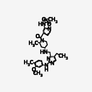 CCc1cnc(Nc2ccc(C)c(OC)c2)nc1CN[C@H]1CCN(C(=O)c2ccnc(NS(C)(=O)=O)c2)[C@H](C)C1